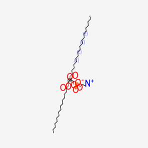 CCCCC/C=C/C/C=C/C/C=C/C/C=C/CCCC(=O)O[C@H](COC(=O)CCCCCCCCCCCCCCC)COP(=O)([O-])OCC[N+](C)(C)C